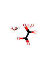 O.O.O=C([O-])C(=O)[O-].[Cu+2]